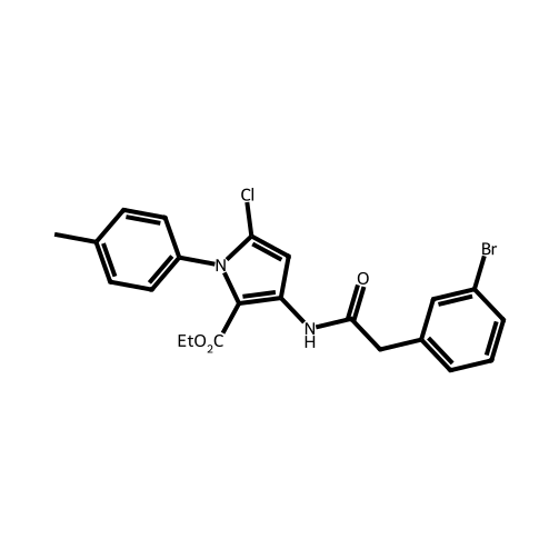 CCOC(=O)c1c(NC(=O)Cc2cccc(Br)c2)cc(Cl)n1-c1ccc(C)cc1